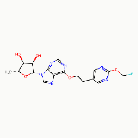 C[C@H]1O[C@@H](n2cnc3c(OCCc4cnc(OCF)nc4)ncnc32)[C@H](O)[C@@H]1O